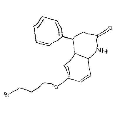 O=C1CC(c2ccccc2)C2C=C(OCCCBr)C=CC2N1